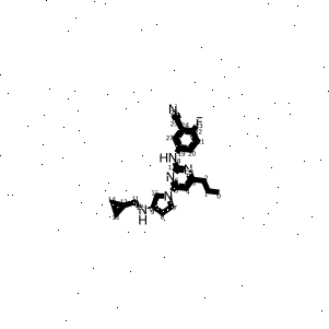 CCCc1cc(N2CC[C@H](NCC3CC3)C2)nc(Nc2ccc(F)c(C#N)c2)n1